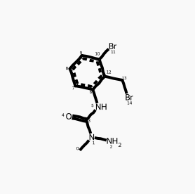 CN(N)C(=O)Nc1cccc(Br)c1CBr